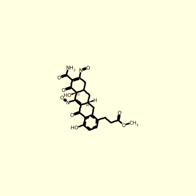 COC(=O)CCc1ccc(O)c2c1C[C@H]1CC3CC(N=O)=C(C(N)=O)C(=O)[C@@]3(O)C(N=O)=C1C2=O